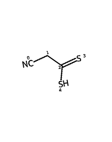 N#CCC(=S)S